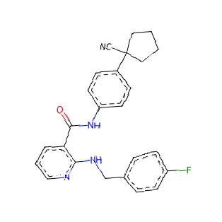 N#CC1(c2ccc(NC(=O)c3cccnc3NCc3ccc(F)cc3)cc2)CCCC1